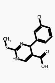 CSC1=NC(c2cccc(Cl)c2)C(C(=O)O)=CN1